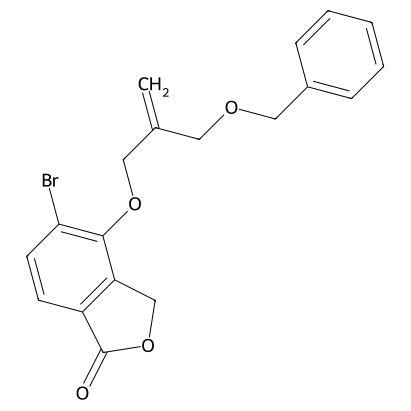 C=C(COCc1ccccc1)COc1c(Br)ccc2c1COC2=O